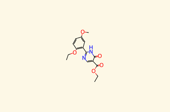 CCOC(=O)c1cnc(-c2cc(OC)ccc2OCC)[nH]c1=O